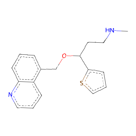 CNCCC(OCc1cccc2ncccc12)c1cccs1